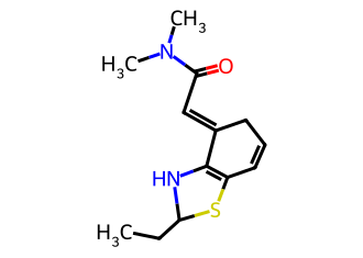 CCC1NC2=C(C=CCC2=CC(=O)N(C)C)S1